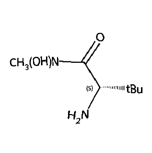 CN(O)C(=O)[C@@H](N)C(C)(C)C